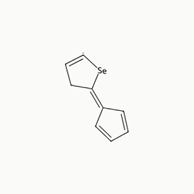 [C]1=CCC(=C2C=CC=C2)[Se]1